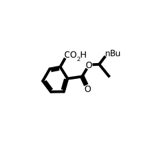 CCCCC(C)OC(=O)c1ccccc1C(=O)O